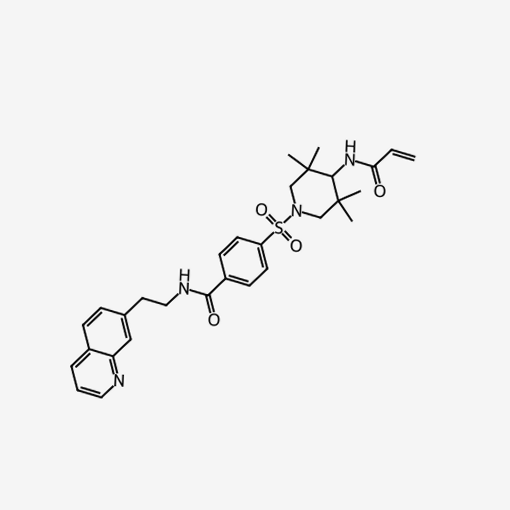 C=CC(=O)NC1C(C)(C)CN(S(=O)(=O)c2ccc(C(=O)NCCc3ccc4cccnc4c3)cc2)CC1(C)C